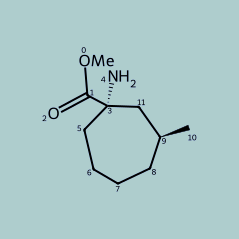 COC(=O)[C@]1(N)CCCC[C@H](C)C1